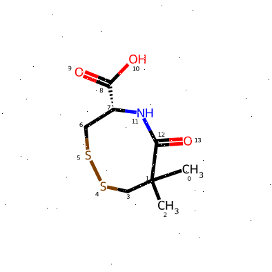 CC1(C)CSSC[C@H](C(=O)O)NC1=O